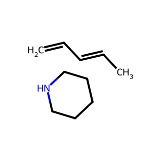 C1CCNCC1.C=CC=CC